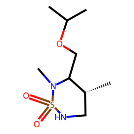 CC(C)OCC1[C@H](C)CNS(=O)(=O)N1C